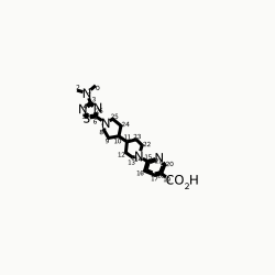 CN(C)c1nsc(N2CCC(C3CCN(c4ccc(C(=O)O)cn4)CC3)CC2)n1